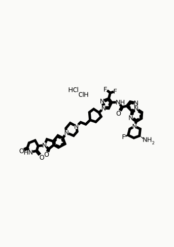 Cl.Cl.N[C@@H]1C[C@@H](F)CN(c2ccn3ncc(C(=O)Nc4cn(C5CCC(CCN6CCN(c7ccc8c(c7)CN(C7CCC(=O)NC7=O)C8=O)CC6)CC5)nc4C(F)F)c3n2)C1